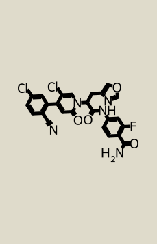 N#Cc1ccc(Cl)cc1-c1cc(=O)n(C(Cc2cocn2)C(=O)Nc2ccc(C(N)=O)c(F)c2)cc1Cl